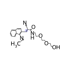 CC1CN1c1c(/C=C(\C#N)C(=O)NCCOCCOCCO)ccc2ccccc12